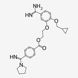 N=C(N)c1ccc(OCC2CC2)c(OCCOC(=O)c2ccc(C(=N)N3CCCC3)cc2)c1